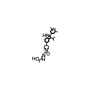 Cc1cc(-c2[nH]c3ccc(C4CCN(C(=O)CNCCC(C)O)CC4)cc3c2C(C)C)cc(C)n1